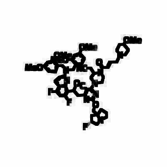 COc1ccc(CN(Cc2ccc(OC)cc2OC)c2ccc3c(F)cc(F)c(C4Cc5nc(OCC67CCCN6C[C@H](F)C7)nc(N6CCN(C(=O)/C=C/CN7CCC(OC)CC7)C(CC#N)C6)c5CO4)c3n2)c(OC)c1